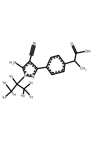 [2H]C([2H])([2H])C([2H])(n1nc(-c2ccc(C(C)C(=O)O)cc2)c(C#N)c1N)C([2H])([2H])[2H]